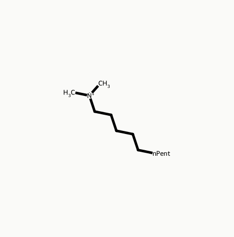 CCCCCCCCCC[N+](C)C